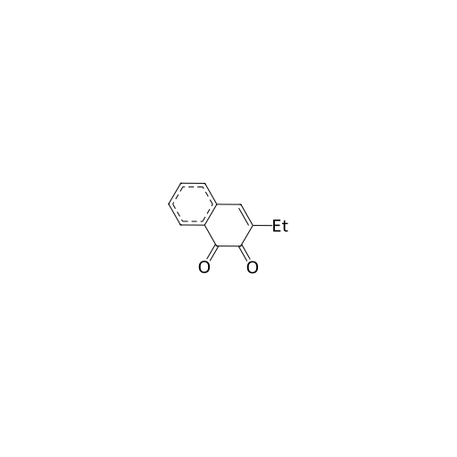 CCC1=Cc2ccccc2C(=O)C1=O